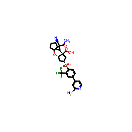 Cc1cc(-c2ccc(S(=O)(=O)[C@@H]3C[C@H](OC4CCCC4)[C@@](C(=O)O)(C4CC4(C#N)C(N)=O)C3)c(C(F)(F)F)c2)ccn1